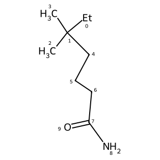 CCC(C)(C)CCCC(N)=O